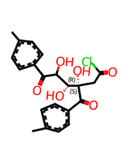 Cc1ccc(C(=O)C(O)[C@@H](O)[C@@](O)(CC(=O)Cl)C(=O)c2ccc(C)cc2)cc1